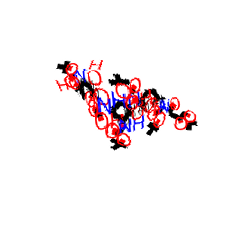 CN(C(=O)OC(C)(C)C)[C@@H]1[C@@H](O)[C@@H](ON(C(=O)O)C2C[C@H](NC(=O)OC(C)(C)C)[C@@H](O[C@H]3O[C@H](CN(C(=O)CC4COC(C)(C)O4)C(=O)OC(C)(C)C)CC[C@H]3NC(=O)OC(C)(C)C)[C@@H](O)C2)OC[C@]1(C)O